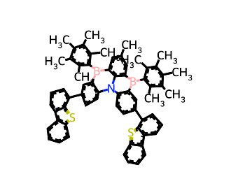 Cc1cc2c3c(c1)B(c1c(C)c(C)c(C)c(C)c1C)c1cc(-c4cccc5c4sc4ccccc45)ccc1N3c1ccc(-c3cccc4c3sc3ccccc34)cc1B2c1c(C)c(C)c(C)c(C)c1C